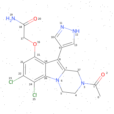 CC(=O)N1CCn2c(c(-c3cn[nH]c3)c3c(OCC(N)=O)cc(Cl)c(Cl)c32)C1